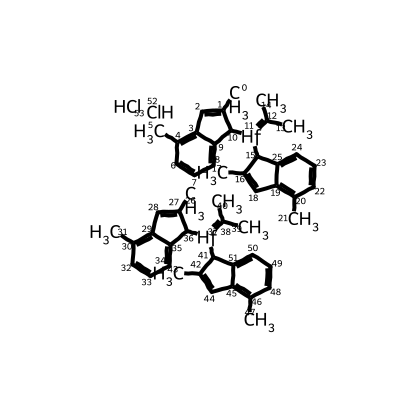 CC1=Cc2c(C)cccc2[CH]1[Hf](=[C](C)C)[CH]1C(C)=Cc2c(C)cccc21.CC1=Cc2c(C)cccc2[CH]1[Hf](=[C](C)C)[CH]1C(C)=Cc2c(C)cccc21.Cl.Cl